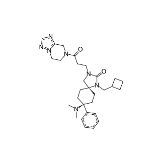 CN(C)[C@]1(c2ccccc2)CC[C@@]2(CC1)CN(CCC(=O)N1CCn3ncnc3C1)C(=O)N2CC1CCC1